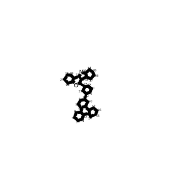 c1cc(-c2ccc3c4ccccc4c4ccccc4c3c2)cc(-c2oc3ccccc3c3nc4ccccc4c2-3)c1